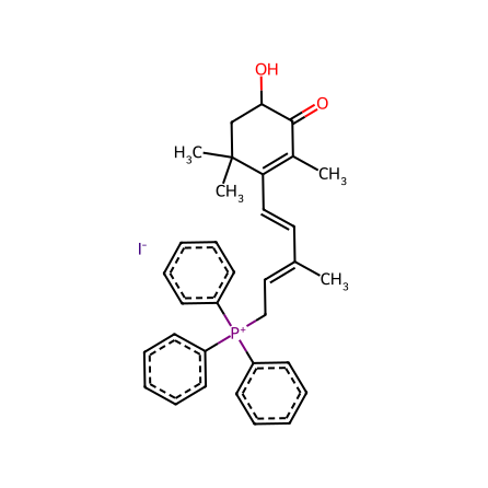 CC(C=CC1=C(C)C(=O)C(O)CC1(C)C)=CC[P+](c1ccccc1)(c1ccccc1)c1ccccc1.[I-]